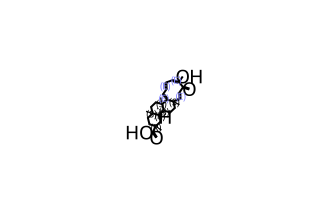 C[C@@]1(C(=O)O)CC[C@]2(C)CC[C@]3(C)/C4=C/C=C/C=C(/O)C(=O)/C=C/[C@]4(C)CC[C@@]3(C)[C@@H]2C1